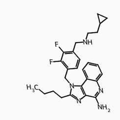 CCCCc1nc2c(N)nc3ccccc3c2n1Cc1ccc(CNCCC2CC2)c(F)c1F